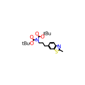 Cc1nc2ccc(CCCN(C(=O)OC(C)(C)C)C(=O)OC(C)(C)C)cc2s1